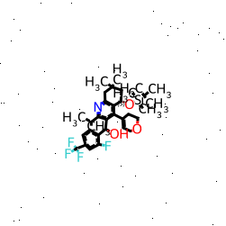 CC(C)c1nc2c(c(C3=CCOCC3)c1C(O)c1ccc(C(F)(F)F)cc1F)[C@@H](O[Si](C)(C)C(C)(C)C)CC(C)(C)C2